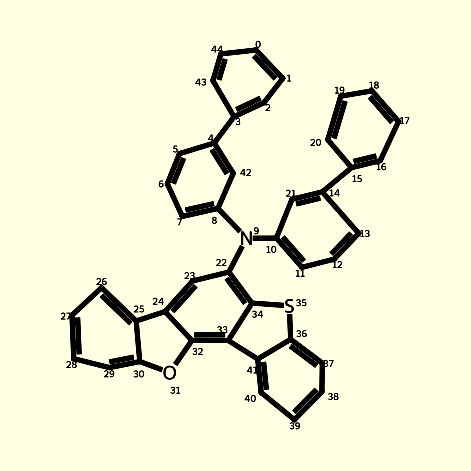 c1ccc(-c2cccc(N(c3cccc(-c4ccccc4)c3)c3cc4c5ccccc5oc4c4c3sc3ccccc34)c2)cc1